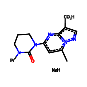 Cc1cc(N2CCCN(C(C)C)C2=O)nc2c(C(=O)O)cnn12.[NaH]